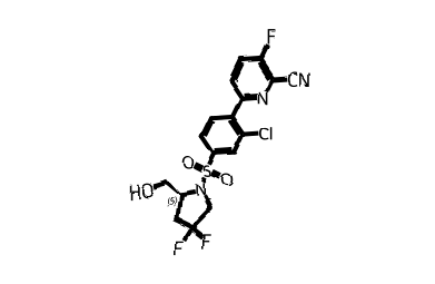 N#Cc1nc(-c2ccc(S(=O)(=O)N3CC(F)(F)C[C@H]3CO)cc2Cl)ccc1F